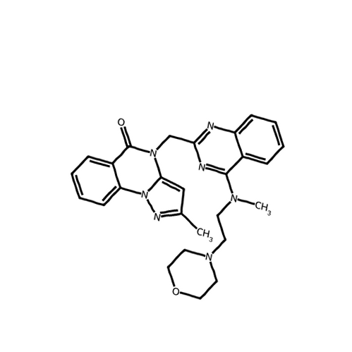 Cc1cc2n(Cc3nc(N(C)CCN4CCOCC4)c4ccccc4n3)c(=O)c3ccccc3n2n1